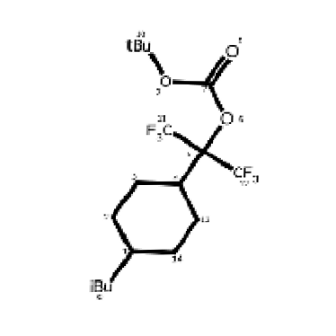 CCC(C)C1CCC(C(OC(=O)OC(C)(C)C)(C(F)(F)F)C(F)(F)F)CC1